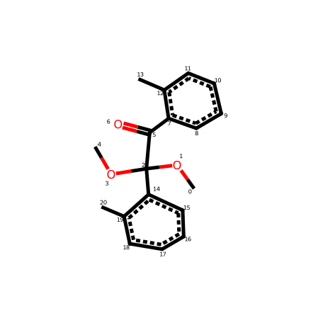 COC(OC)(C(=O)c1ccccc1C)c1ccccc1C